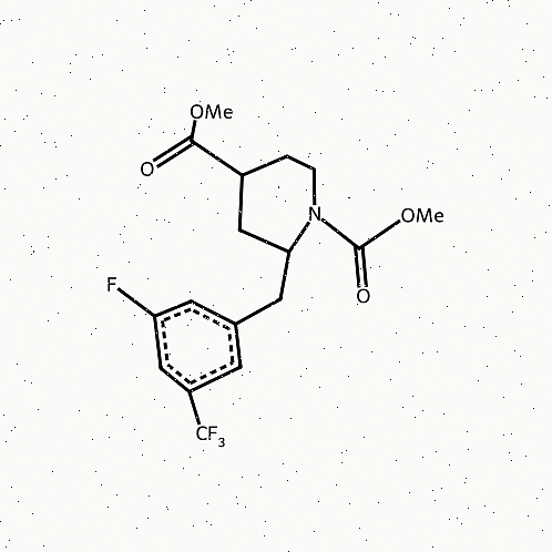 COC(=O)C1CCN(C(=O)OC)C(Cc2cc(F)cc(C(F)(F)F)c2)C1